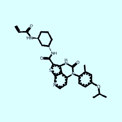 C=CC(=O)N[C@H]1CCC[C@H](NC(=O)c2sc3nccc4c3c2NC(=O)N4c2ccc(OC(C)C)cc2C)C1